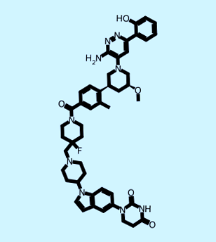 CO[C@H]1C[C@@H](c2ccc(C(=O)N3CCC(F)(CN4CCC(n5ccc6cc(N7CCC(=O)NC7=O)ccc65)CC4)CC3)cc2C)CN(c2cc(-c3ccccc3O)nnc2N)C1